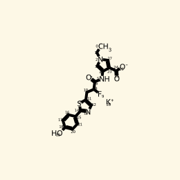 CCn1cc(NC(=O)C(F)Cc2cnc(-c3ccc(O)cc3)s2)c(C(=O)[O-])c1.[K+]